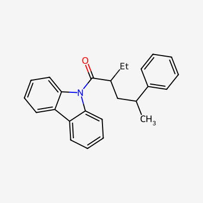 CCC(CC(C)c1ccccc1)C(=O)n1c2ccccc2c2ccccc21